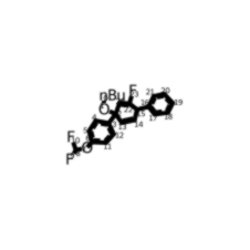 CCCCOC1(c2ccc(OC(F)F)cc2)C=CC(c2ccccc2)C(F)=C1